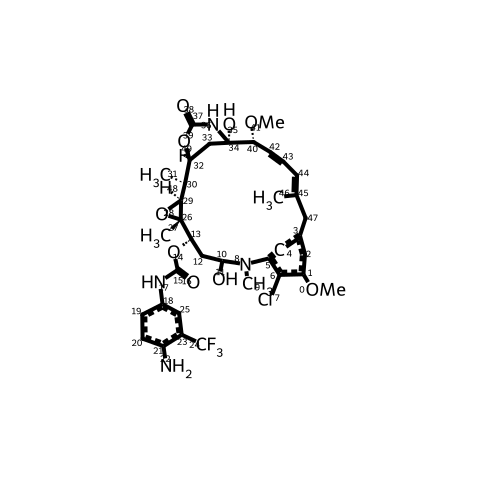 COc1cc2cc(c1Cl)N(C)C(O)C[C@H](OC(=O)Nc1ccc(N)c(C(F)(F)F)c1)[C@]1(C)O[C@H]1[C@H](C)[C@@H]1C[C@@](O)(NC(=O)O1)[C@H](OC)/C=C/C=C(\C)C2